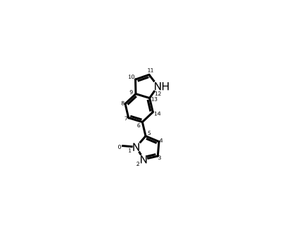 Cn1nccc1-c1ccc2c[c][nH]c2c1